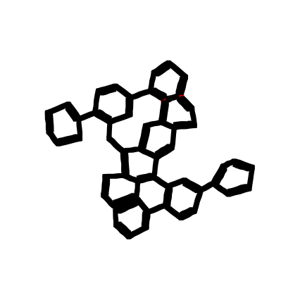 c1ccc(-c2ccc(-c3ccccc3)c(Cc3c4ccccc4c(-c4cc(-c5ccccc5)ccc4-c4ccccc4)c4cc5ccccc5cc34)c2)cc1